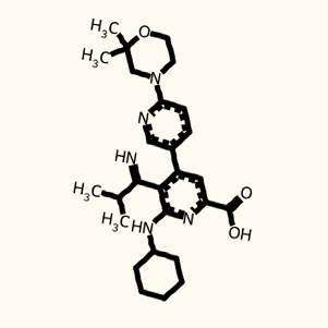 CC(C)C(=N)c1c(-c2ccc(N3CCOC(C)(C)C3)nc2)cc(C(=O)O)nc1NC1CCCCC1